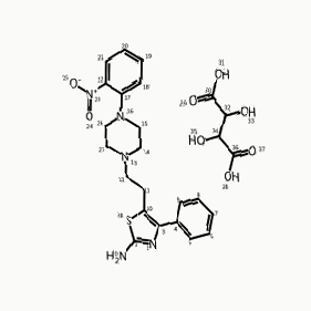 Nc1nc(-c2ccccc2)c(CCN2CCN(c3ccccc3[N+](=O)[O-])CC2)s1.O=C(O)C(O)C(O)C(=O)O